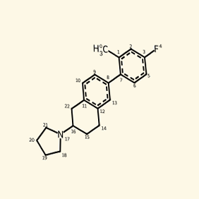 Cc1cc(F)ccc1-c1ccc2c(c1)CCC(N1CCCC1)C2